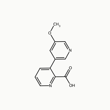 COc1cncc(-c2cccnc2C(=O)O)c1